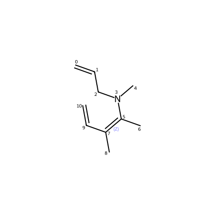 C=CCN(C)/C(C)=C(/C)C=C